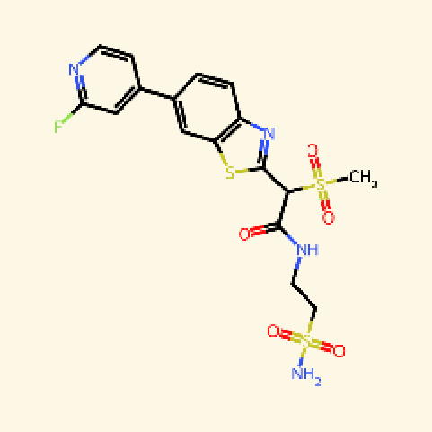 CS(=O)(=O)C(C(=O)NCCS(N)(=O)=O)c1nc2ccc(-c3ccnc(F)c3)cc2s1